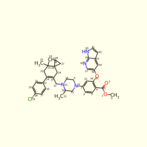 COC(=O)c1ccc(N2CCN(CC3=C(c4ccc(Cl)cc4)CC(C)(C)C4(CC4)C3)C(C)C2)cc1Oc1cnc2[nH]ccc2c1